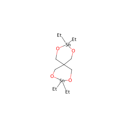 C[CH2][Sn]1([CH2]C)[O]CC2(C[O]1)C[O][Sn]([CH2]C)([CH2]C)[O]C2